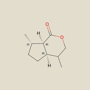 CC1COC(=O)[C@H]2[C@@H]1CC[C@@H]2C